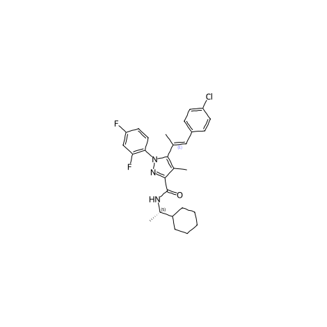 C/C(=C\c1ccc(Cl)cc1)c1c(C)c(C(=O)N[C@@H](C)C2CCCCC2)nn1-c1ccc(F)cc1F